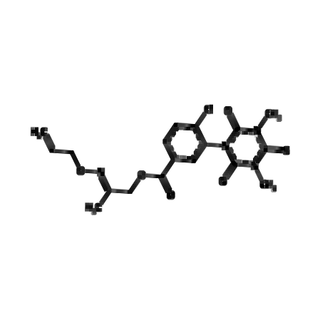 C=CCON=C(C)COC(=O)c1ccc(Cl)c(-n2c(=O)n(C)c(=S)n(C)c2=O)c1